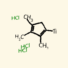 CC1=C(C)C(C)=[C]([Ti])C1.Cl.Cl.Cl